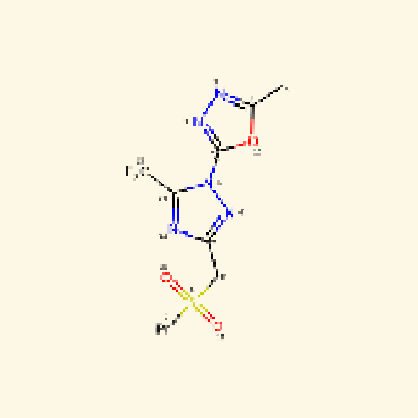 Cc1nnc(-n2nc(CS(=O)(=O)C(C)C)nc2C(F)(F)F)o1